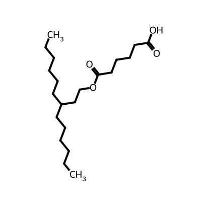 CCCCCCC(CCCCCC)CCOC(=O)CCCCC(=O)O